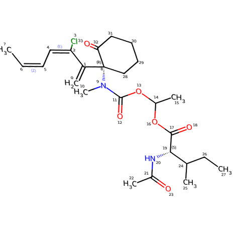 C=C(/C(Cl)=C\C=C/C)[C@]1(N(C)C(=O)OC(C)OC(=O)[C@@H](NC(C)=O)C(C)CC)CCCCC1=O